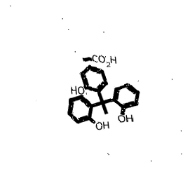 CC(=O)O.CC(c1ccccc1O)(c1ccccc1O)c1ccccc1O